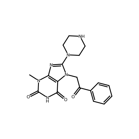 Cn1c(=O)[nH]c(=O)c2c1nc(N1CCNCC1)n2CC(=O)c1ccccc1